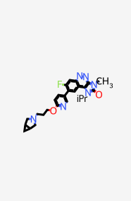 CC(C)n1c(=O)n(C)c2nnc3cc(F)c(-c4ccc(OCCCN5CC6CC6C5)nc4)cc3c21